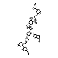 COCC(=O)N1CCOC(CCCNc2ccc(S(=O)(=O)NC(=O)c3ccc(N4CCN(CC5=C(c6ccc(C(F)(F)F)cc6C)CC(C)(C)CC5)CC4)cc3Oc3cnc4[nH]ccc4c3)cc2[N+](=O)[O-])C1